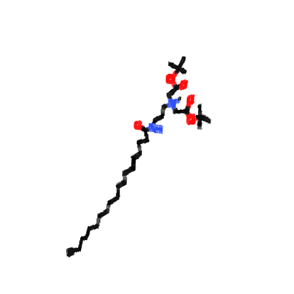 C#CCCCCCCCCCCCCCCCCCC(=O)NCCC[N+](C)(CC(=O)OC(C)(C)C)CC(=O)OC(C)(C)C